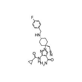 N#CC[C@]1(n2cc(C(N)=O)c(NC(=O)C3CC3)n2)CC[C@@H](NCc2ccc(F)cc2)CC1